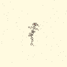 Cc1cc(N(C)C(N)=O)cc(C)c1C=CS(=O)(=O)N1CCC2(CC1)N=C(c1ccc(OCCCC(F)(F)F)cc1)NC2=O